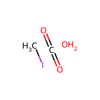 CI.O.O=C=O